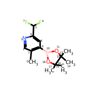 Cc1cnc(C(F)F)cc1B1OC(C)(C)C(C)(C)O1